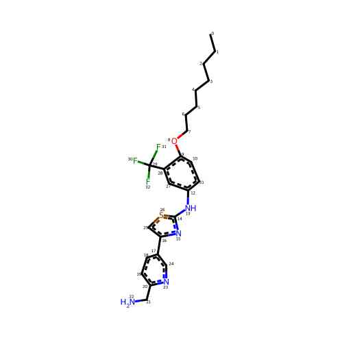 CCCCCCCCOc1ccc(Nc2nc(-c3ccc(CN)nc3)cs2)cc1C(F)(F)F